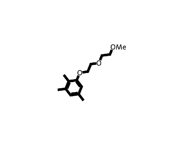 COCCOCCOc1cc(C)cc(C)c1C